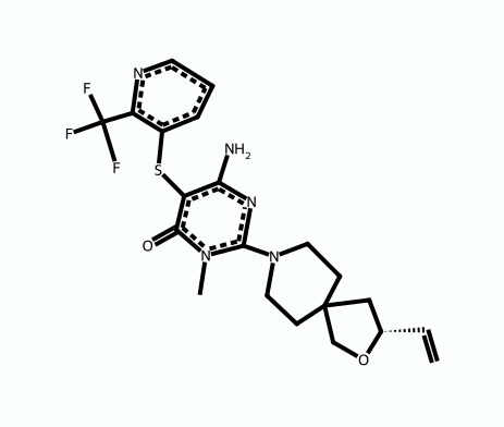 C=C[C@H]1CC2(CCN(c3nc(N)c(Sc4cccnc4C(F)(F)F)c(=O)n3C)CC2)CO1